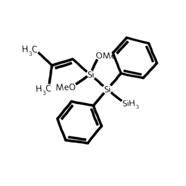 CO[Si](C=C(C)C)(OC)[Si]([SiH3])(c1ccccc1)c1ccccc1